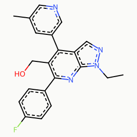 CCn1ncc2c(-c3cncc(C)c3)c(CO)c(-c3ccc(F)cc3)nc21